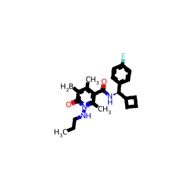 Bc1c(C)c(C(=O)N[C@H](c2ccc(F)cc2)C2CCC2)c(C)n(NCCC)c1=O